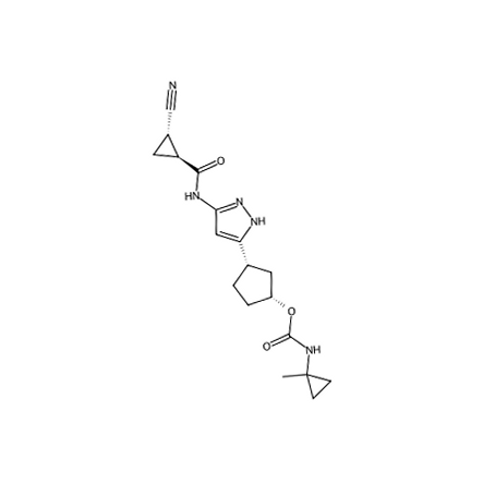 CC1(NC(=O)O[C@@H]2CC[C@H](c3cc(NC(=O)[C@H]4C[C@@H]4C#N)n[nH]3)C2)CC1